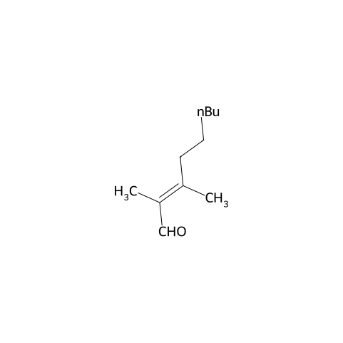 CCCCCC/C(C)=C(\C)C=O